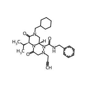 C#CCN1CC(=O)N2[C@@H](C(C)C)C(=O)N(CC3CCCCC3)C[C@@H]2N1C(=O)NCc1ccccc1